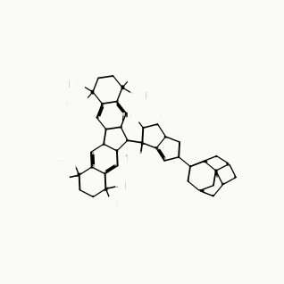 CCCC[C@@H]1C2CC(C34CC5CC6CC(C3)C6(C5)C4)C=C2C(C)(C2C3C=C4C(=CC3C3C=C5C(=C[C@@H]32)C(C)(C)CCC5(C)C)C(C)(C)CCC4(C)C)C1O